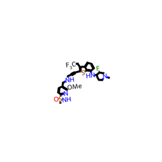 COc1nc(S(C)(=N)=O)ccc1CNCC#Cc1sc2c(NC3CCN(C)C[C@@H]3F)cccc2c1CC(F)(F)F